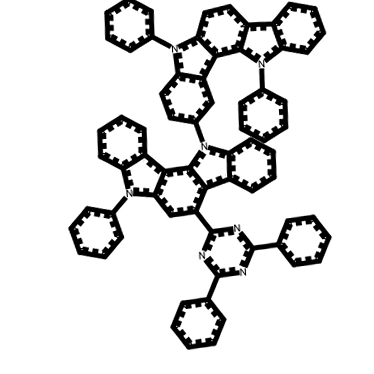 c1ccc(-c2nc(-c3ccccc3)nc(-c3cc4c(c5ccccc5n4-c4ccccc4)c4c3c3ccccc3n4-c3ccc4c(c3)c3c(ccc5c6ccccc6n(-c6ccccc6)c53)n4-c3ccccc3)n2)cc1